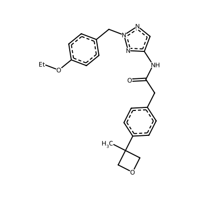 CCOc1ccc(Cn2ncc(NC(=O)Cc3ccc(C4(C)COC4)cc3)n2)cc1